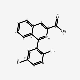 O=C(O)c1cc2ccccc2c(-c2cc(Br)ccc2Cl)n1